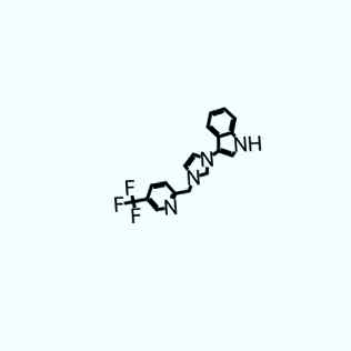 FC(F)(F)c1ccc(CN2C=CN(c3c[nH]c4ccccc34)C2)nc1